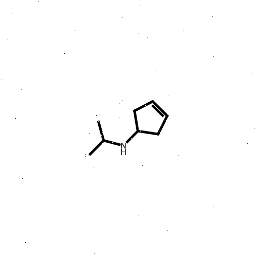 CC(C)NC1CC=CC1